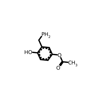 CC(=O)Oc1ccc(O)c(CP)c1